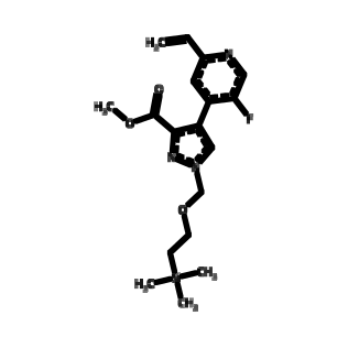 C=Cc1cc(-c2cn(COCC[Si](C)(C)C)nc2C(=O)OC)c(F)cn1